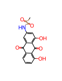 CS(=O)(=O)Nc1cc(O)c2c(c1)C(=O)c1cccc(O)c1C2=O